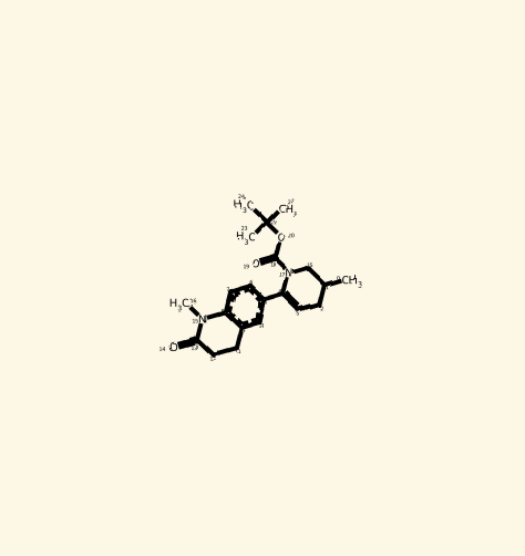 CC1CC=C(c2ccc3c(c2)CCC(=O)N3C)N(C(=O)OC(C)(C)C)C1